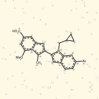 COc1cc(C(=O)O)cc2nc(-c3cc4ccc(C(C)=O)nc4n3CC3CC3)c(C)n12